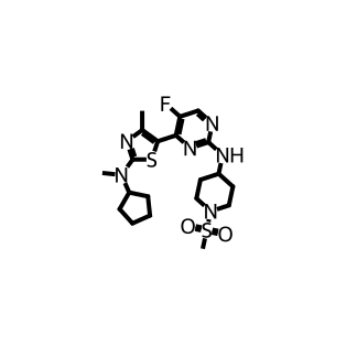 Cc1nc(N(C)C2CCCC2)sc1-c1nc(NC2CCN(S(C)(=O)=O)CC2)ncc1F